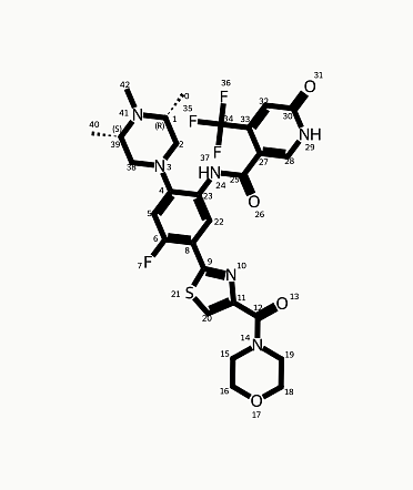 C[C@@H]1CN(c2cc(F)c(-c3nc(C(=O)N4CCOCC4)cs3)cc2NC(=O)c2c[nH]c(=O)cc2C(F)(F)F)C[C@H](C)N1C